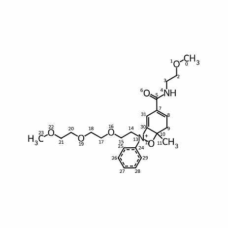 COCCNC(=O)C1=CCC2(C)O[N+](CCOCCOCCOC)(c3ccccc3)C2=C1